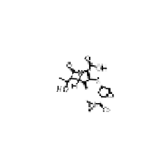 C=C1C(S[C@@H]2CO[C@H](C(=O)N(C)C)C2)=C(C(=O)O)N2C(=O)[C@H]([C@H](C)O)[C@@H]12